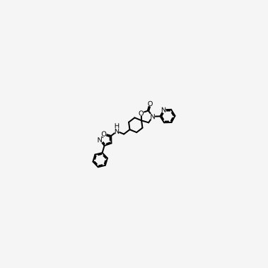 O=C1OC2(CCC(CNc3cc(-c4ccccc4)no3)CC2)CN1c1ccccn1